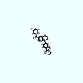 CCN1Cc2cc(N3CCCc4cc(C(=O)N5CCC[C@@H](C)C5)cnc43)ccc2C1=O